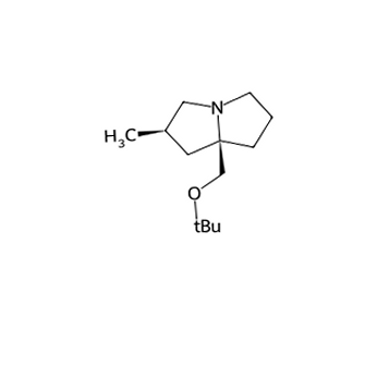 C[C@H]1CN2CCC[C@]2(COC(C)(C)C)C1